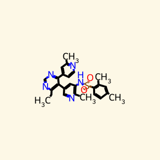 CCc1ncnc(-c2ccnc(C)c2)c1-c1cnc(C)c(NS(=O)(=O)c2ccc(C)cc2C)c1